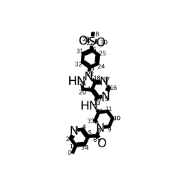 Cc1cncc(C(=O)N2CCCC(Nc3ncnc4c3CNN4c3ccc(S(C)(=O)=O)cc3)C2)c1